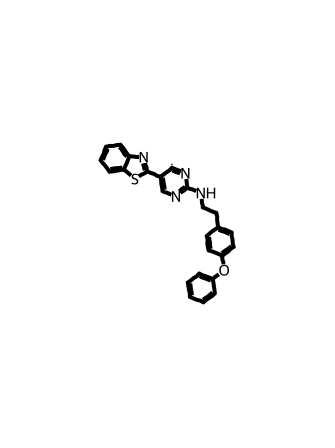 [c]1nc(NCCc2ccc(Oc3ccccc3)cc2)ncc1-c1nc2ccccc2s1